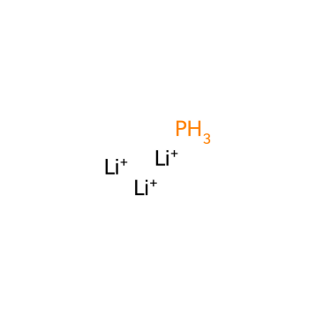 P.[Li+].[Li+].[Li+]